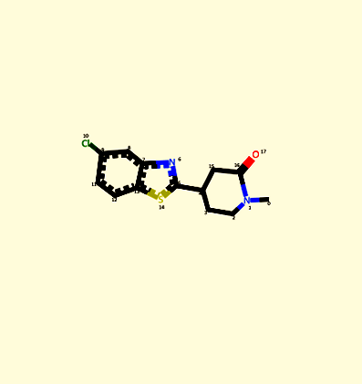 CN1CCC(c2nc3cc(Cl)ccc3s2)CC1=O